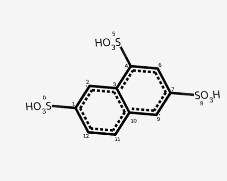 O=S(=O)(O)c1[c]c2c(S(=O)(=O)O)cc(S(=O)(=O)O)[c]c2cc1